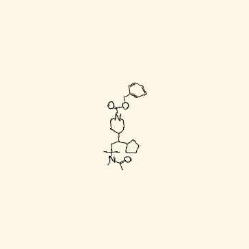 CC(=O)N(C)C(C)(C)CC(C1CCCC1)C1CCN(C(=O)OCc2ccccc2)CC1